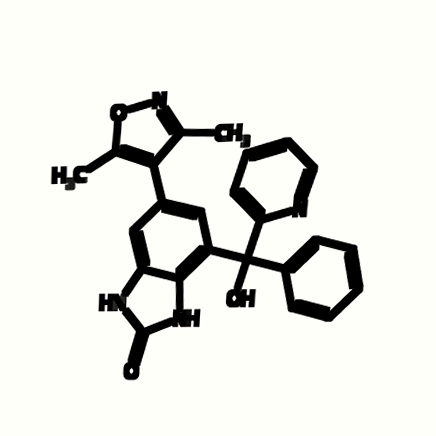 Cc1noc(C)c1-c1cc(C(O)(c2ccccc2)c2ccccn2)c2[nH]c(=O)[nH]c2c1